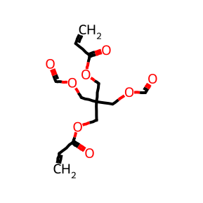 C=CC(=O)OCC(COC=O)(COC=O)COC(=O)C=C